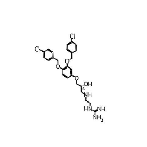 N=C(N)NCCNC[C@@H](O)COc1ccc(OCc2ccc(Cl)cc2)c(OCc2ccc(Cl)cc2)c1